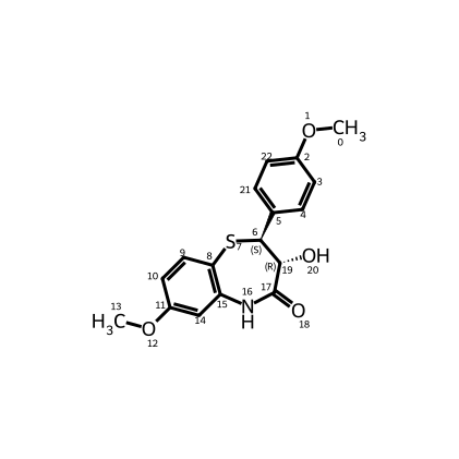 COc1ccc([C@@H]2Sc3ccc(OC)cc3NC(=O)[C@H]2O)cc1